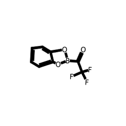 O=C(B1Oc2ccccc2O1)C(F)(F)F